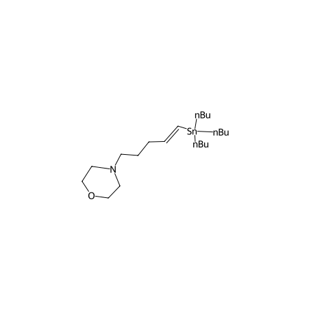 CCC[CH2][Sn](/[CH]=C/CCCN1CCOCC1)([CH2]CCC)[CH2]CCC